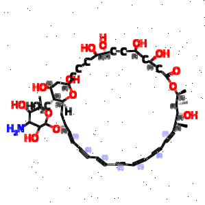 CC1OC(O[C@H]2/C=C/C=C/C=C/C=C/C=C/C=C/C=C/[C@H](C)[C@@H](O)[C@@H](C)[C@H](C)OC(=O)C[C@H](O)C[C@H](O)CC[C@@H](O)[C@H](O)CCC[C@]3(O)C[C@H](O)[C@@H](C(=O)O)[C@H](C2)O3)C(O)C(N)C1O